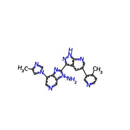 Cc1cn(-c2cncc3c2nc(-c2n[nH]c4ncc(-c5cnccc5C)cc24)n3N)cn1